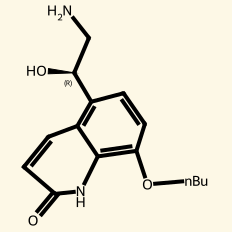 CCCCOc1ccc([C@@H](O)CN)c2ccc(=O)[nH]c12